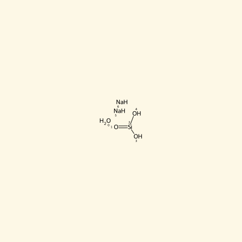 O.O=[Si](O)O.[NaH].[NaH]